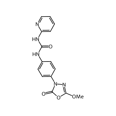 COc1nn(-c2ccc(NC(=O)Nc3ccccn3)cc2)c(=O)o1